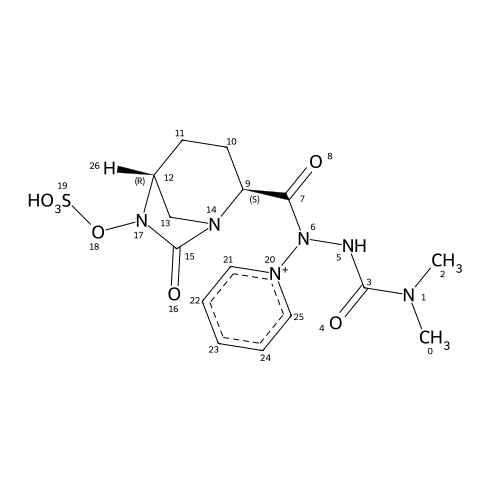 CN(C)C(=O)NN(C(=O)[C@@H]1CC[C@@H]2CN1C(=O)N2OS(=O)(=O)O)[n+]1ccccc1